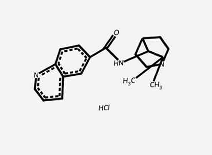 CC1(C)C(NC(=O)c2ccc3ncccc3c2)C2CCN1CC2.Cl